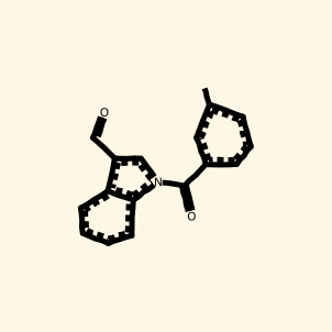 Cc1cccc(C(=O)n2cc(C=O)c3ccccc32)c1